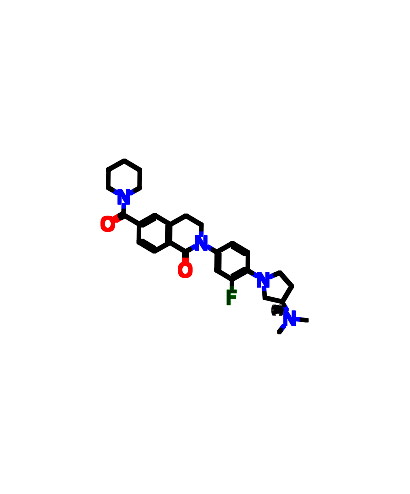 CN(C)[C@@H]1CCN(c2ccc(N3CCc4cc(C(=O)N5CCCCC5)ccc4C3=O)cc2F)C1